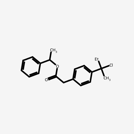 CCC(C)(Cl)c1ccc(CC(=O)OC(C)c2ccccc2)cc1